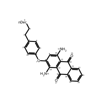 CCCCCCCCCCCCc1ccc(Oc2cc(N)c3c(c2N)C(=O)c2ccccc2C3=O)cc1